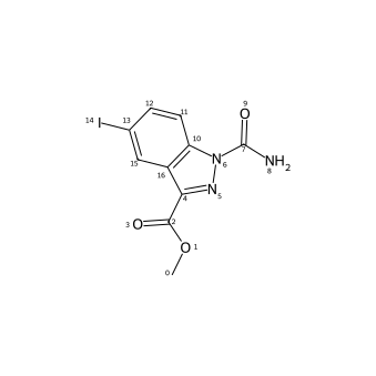 COC(=O)c1nn(C(N)=O)c2ccc(I)cc12